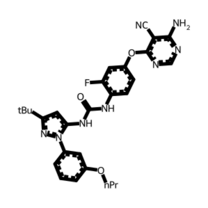 CCCOc1cccc(-n2nc(C(C)(C)C)cc2NC(=O)Nc2ccc(Oc3ncnc(N)c3C#N)cc2F)c1